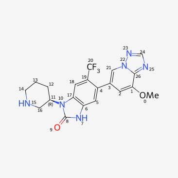 COc1cc(-c2cc3[nH]c(=O)n([C@@H]4CCCNC4)c3cc2C(F)(F)F)cn2ncnc12